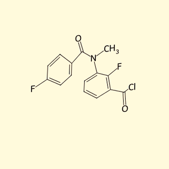 CN(C(=O)c1ccc(F)cc1)c1cccc(C(=O)Cl)c1F